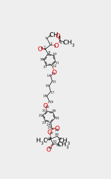 CCC(OC(C)=O)C(=O)c1ccc(OCCCCCCOc2ccc(C(=O)OC(C)(CC)C(C)=O)cc2)cc1